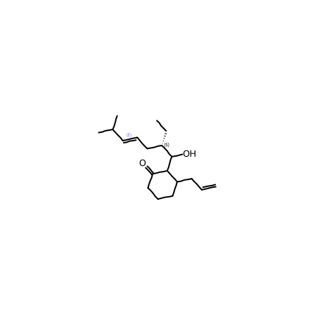 C=CCC1CCCC(=O)C1C(O)[C@@H](CC)C/C=C/C(C)C